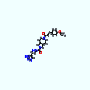 O=C(/C=C/c1ccc(OC(F)(F)F)cc1)N1CCC2CN(C(=O)NCCc3cnn[nH]3)CC2CC1